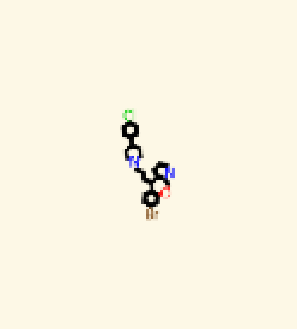 Clc1ccc(C2CCN(CCC=C3c4ccc(Br)cc4OCc4ncccc43)CC2)cc1